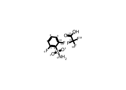 NS(=O)(=O)c1c(F)cccc1F.O=C(O)C(F)(F)F